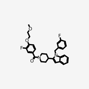 COCCOc1ccc(C(=O)N2CCC(c3cc4ccccc4n3Cc3cccc(F)c3)CC2)cc1F